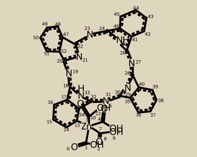 O=[C](O)[Zn]([C](=O)O)([C](=O)O)([C](=O)O)[c]1cccc2c3nc4nc(nc5[nH]c(nc6nc(nc([nH]3)c12)-c1ccccc1-6)c1ccccc51)-c1ccccc1-4